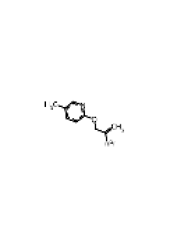 C=C(CCC)COc1ccc(C)cn1